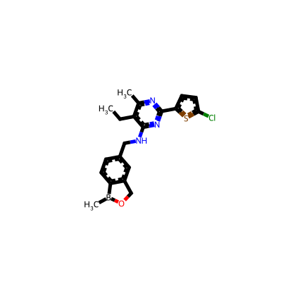 CCc1c(C)nc(-c2ccc(Cl)s2)nc1NCc1ccc2c(c1)COB2C